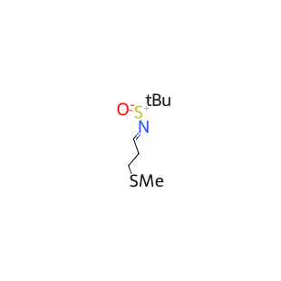 CSCCC=N[S@+]([O-])C(C)(C)C